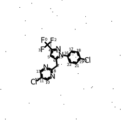 FC(F)(F)c1cc(Cc2ncc(Cl)cn2)n(-c2ccc(Cl)cc2)n1